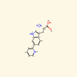 N[C@@H](Cc1c[nH]c2cc(-c3ccccn3)ccc12)C(=O)O